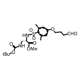 COC(=O)[C@H](CNC(=O)OC(C)(C)C)NS(=O)(=O)c1c(C)cc(OCCCC=O)cc1C